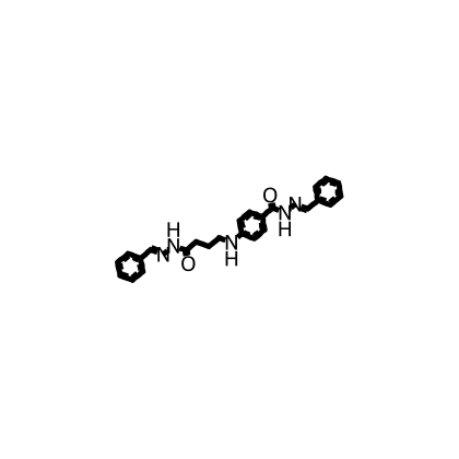 O=C(CCCNc1ccc(C(=O)NN=Cc2ccccc2)cc1)NN=Cc1ccccc1